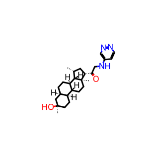 C[C@@H]1C[C@H](C(=O)CNc2ccnnc2)[C@@]2(C)CC[C@H]3[C@@H](CC[C@@H]4C[C@](C)(O)CC[C@@H]43)[C@H]12